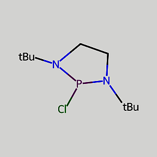 CC(C)(C)N1CCN(C(C)(C)C)P1Cl